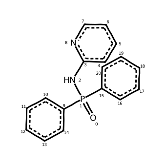 O=P(Nc1ccccn1)(c1ccccc1)c1ccccc1